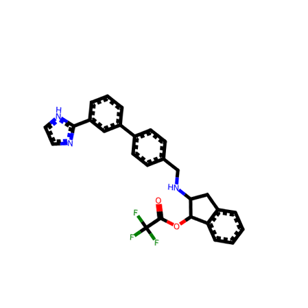 O=C(OC1c2ccccc2CC1NCc1ccc(-c2cccc(-c3ncc[nH]3)c2)cc1)C(F)(F)F